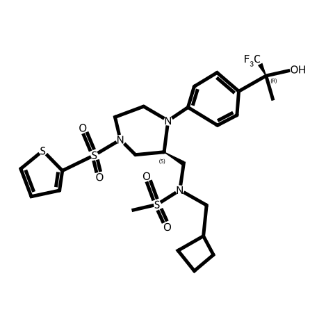 C[C@@](O)(c1ccc(N2CCN(S(=O)(=O)c3cccs3)C[C@@H]2CN(CC2CCC2)S(C)(=O)=O)cc1)C(F)(F)F